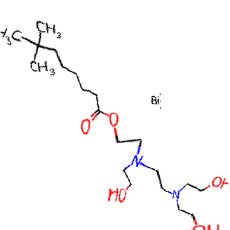 CC(C)(C)CCCCCC(=O)OCCN(CCO)CCN(CCO)CCO.[Bi]